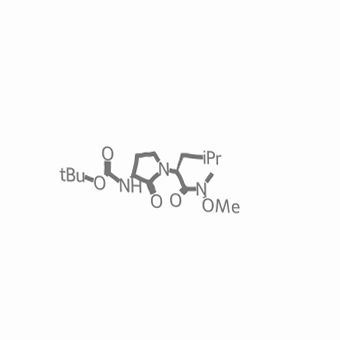 CON(C)C(=O)[C@H](CC(C)C)N1CC[C@H](NC(=O)OC(C)(C)C)C1=O